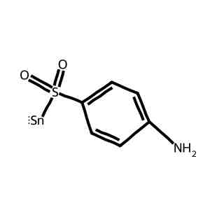 Nc1ccc([S](=O)(=O)[Sn])cc1